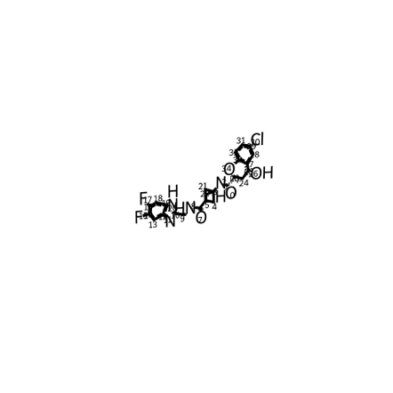 O=C(NC12CC(C(=O)NCc3nc4cc(F)c(F)cc4[nH]3)(C1)C2)[C@H]1C[C@@H](O)c2cc(Cl)ccc2O1